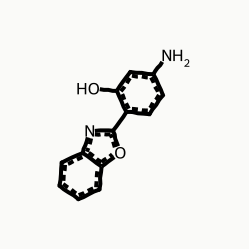 Nc1ccc(-c2nc3ccccc3o2)c(O)c1